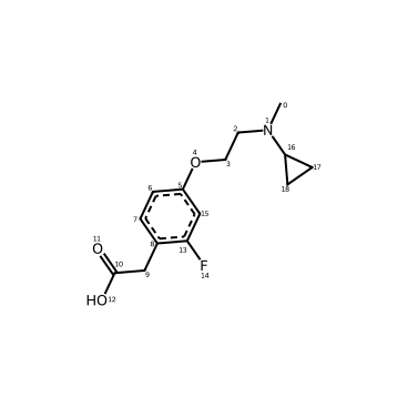 CN(CCOc1ccc(CC(=O)O)c(F)c1)C1CC1